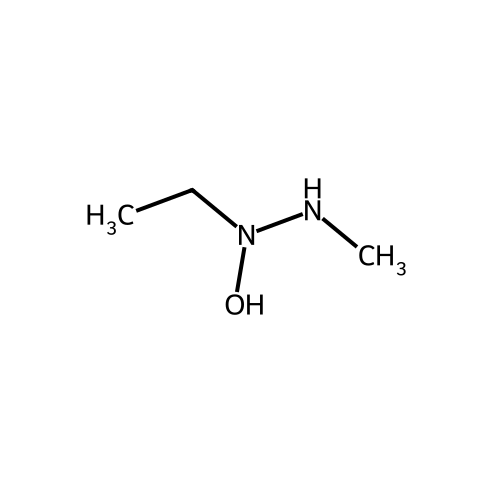 CCN(O)NC